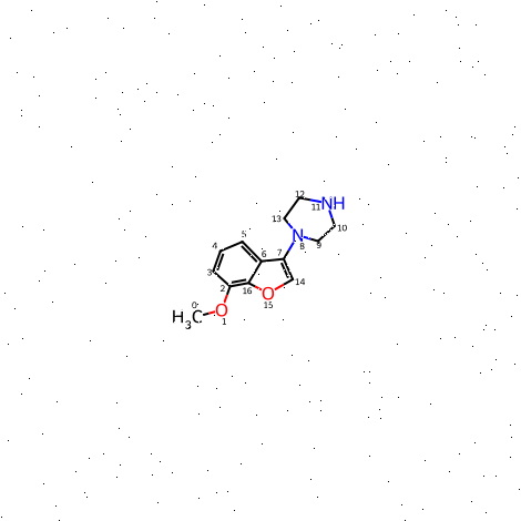 COc1cccc2c(N3CCNCC3)coc12